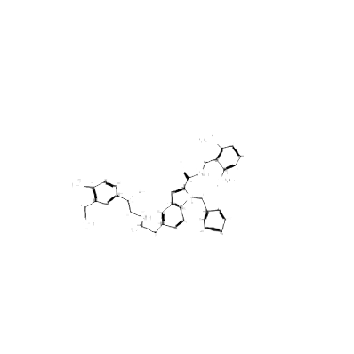 COc1cccc(OC)c1CNC(=O)c1cc2cc(C[C@@H](C)NC[C@H](O)c3ccc(O)c(CO)c3)ccc2n1Cc1ccccc1